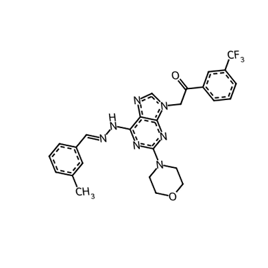 Cc1cccc(/C=N/Nc2nc(N3CCOCC3)nc3c2ncn3CC(=O)c2cccc(C(F)(F)F)c2)c1